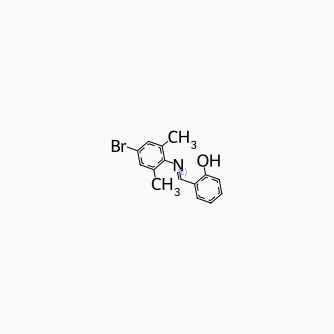 Cc1cc(Br)cc(C)c1/N=C/c1ccccc1O